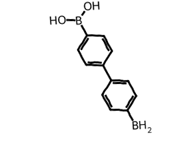 Bc1ccc(-c2ccc(B(O)O)cc2)cc1